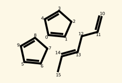 C1=CCC=C1.C1=CCC=C1.C=CCC=CC